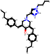 CCCCn1cc(CN2CC(=Cc3ccc(CCC)cc3)C(=O)C(=Cc3ccc(CCC)cc3)C2)nn1